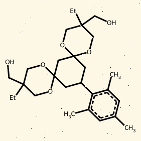 CCC1(CO)COC2(CC(c3c(C)cc(C)cc3C)CC3(C2)OCC(CC)(CO)CO3)OC1